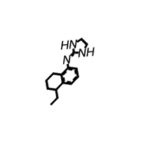 CCC1CCCc2c(N=C3NCCN3)cccc21